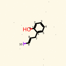 Oc1ccccc1CC=CI